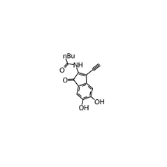 C#CC1=C(NC(=O)CCCC)C(=O)c2cc(O)c(O)cc21